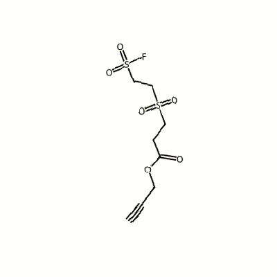 C#CCOC(=O)CCS(=O)(=O)CCS(=O)(=O)F